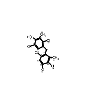 Cc1c(Cl)cc(Cc2c(Cl)cc(Cl)c(Cl)c2C)c(Cl)c1C